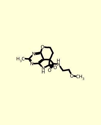 COCCNC(=O)C12CCOc3nc(C)nc(c31)NC2=O